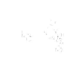 O=C(O)C(CCN(CCCCc1ccc2c(n1)NCCC2)CCOc1ccccc1)Nc1cc(-n2cccn2)ncn1